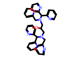 OC(CN(Cc1ccccn1)C(c1ccccn1)c1ccccn1)CN(Cc1ccccn1)C(c1ccccn1)c1ccccn1